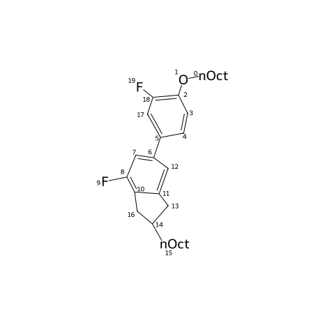 CCCCCCCCOc1ccc(-c2cc(F)c3c(c2)CC(CCCCCCCC)C3)cc1F